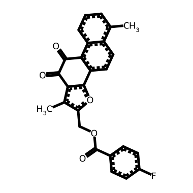 Cc1c(COC(=O)c2ccc(F)cc2)oc2c1C(=O)C(=O)c1c-2ccc2c(C)cccc12